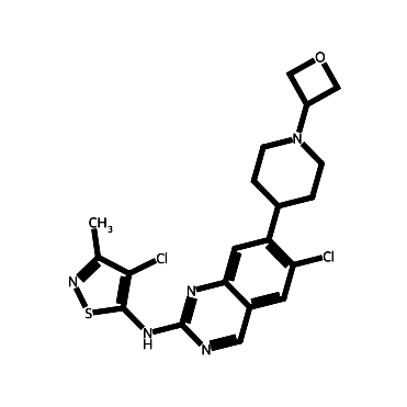 Cc1nsc(Nc2ncc3cc(Cl)c(C4CCN(C5COC5)CC4)cc3n2)c1Cl